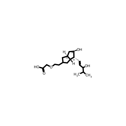 CC(C)C(O)C=C[C@@H]1[C@@H]2CC(CCOCC(=O)O)C[C@H]2C[C@H]1O